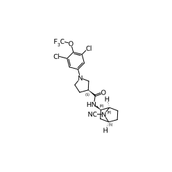 N#CN1[C@H]2CC[C@@H]1[C@H](NC(=O)[C@H]1CCN(c3cc(Cl)c(OC(F)(F)F)c(Cl)c3)C1)C2